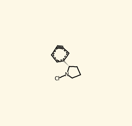 ClN1CCC[C@H]1c1cc#ccc1